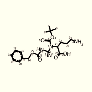 CC(C)(C)OC(=O)N(C(=N)NC(=O)OCc1ccccc1)C(CCCN)C(=O)O